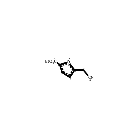 CCOC(=O)c1ccc(CC#N)o1